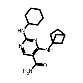 NC(=O)c1cnc(NC2CCCCC2)nc1NC12CCC(C1)C2